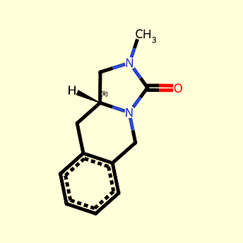 CN1C[C@H]2Cc3ccccc3CN2C1=O